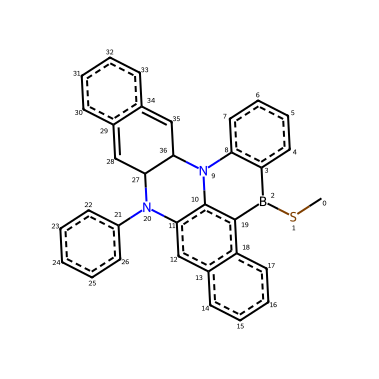 CSB1c2ccccc2N2c3c(cc4ccccc4c31)N(c1ccccc1)C1C=c3ccccc3=CC12